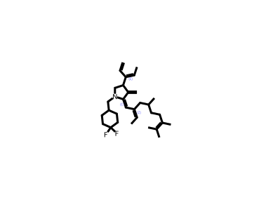 C=C/C(=C\C)C1CN(CC2CCC(F)(F)CC2)/C(=C/C(=C\C)CC(C)CCC(C)=C(C)C)C1=C